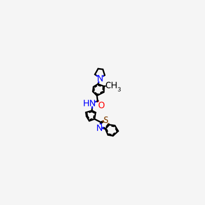 Cc1cc(C(=O)Nc2cccc(-c3nc4ccccc4s3)c2)ccc1N1CCCC1